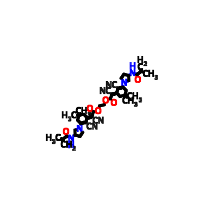 C=C(C)C(=O)NC1CCN(C2=C(C#N)/C(=C(\C#N)C(=O)OCCOC(=O)/C(C#N)=C3\CC(C)(C)CC(N4CCC(NC(=O)C(=C)C)C4)=C3C#N)CC(C)(C)C2)C1